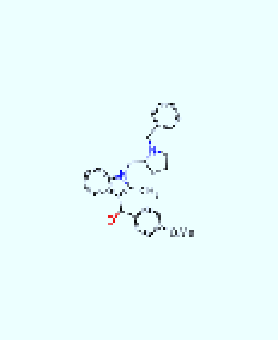 COc1ccc(C(=O)c2c(C)n(CC3CCCN3Cc3ccccc3)c3ccccc23)cc1